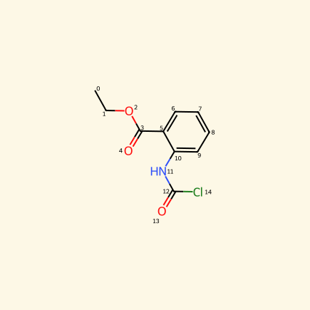 CCOC(=O)c1ccccc1NC(=O)Cl